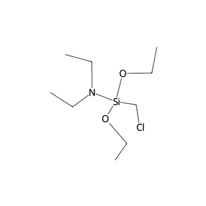 CCO[Si](CCl)(OCC)N(CC)CC